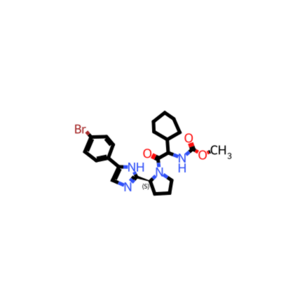 COC(=O)NC(C(=O)N1CCC[C@H]1c1ncc(-c2ccc(Br)cc2)[nH]1)C1CCCCC1